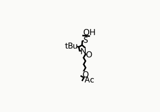 CC(=O)C(C)(C)OCCCCCC(=O)N1CC(CSC(C)(C)O)C(C(C)(C)C)C1